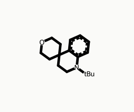 CC(C)(C)N1CCC2(CCOCC2)c2ccccc21